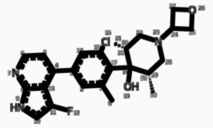 Cc1cc(-c2ccnc3[nH]cc(F)c23)cc(Cl)c1C1(O)[C@H](C)CN(C2COC2)C[C@@H]1C